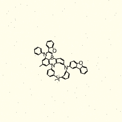 Cc1cc2c3c(c1)N(c1ccccc1)c1c(oc4ccccc14)B3c1ccc3cc1N2c1cccc(c1)[Si](C)(C)c1cccc(c1)N3c1ccc2oc3ccccc3c2c1